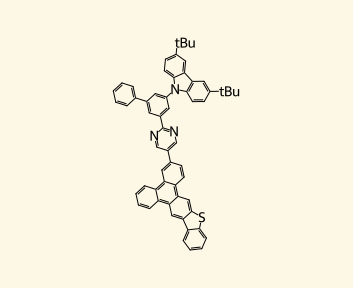 CC(C)(C)c1ccc2c(c1)c1cc(C(C)(C)C)ccc1n2-c1cc(-c2ccccc2)cc(-c2ncc(-c3ccc4c(c3)c3ccccc3c3cc5c(cc43)sc3ccccc35)cn2)c1